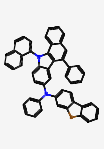 c1ccc(-c2cc3ccccc3c3c2c2cc(N(c4ccccc4)c4ccc5c(c4)sc4ccccc45)ccc2n3-c2cccc3ccccc23)cc1